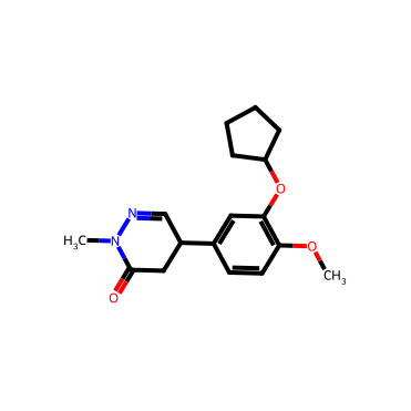 COc1ccc(C2C=NN(C)C(=O)C2)cc1OC1CCCC1